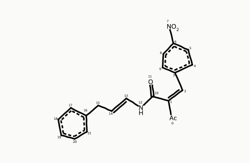 CC(=O)C(=Cc1ccc([N+](=O)[O-])cc1)C(=O)NC=CCc1ccccc1